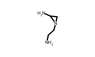 N[CH]CN1CC1N